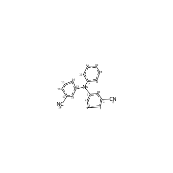 N#Cc1cccc(N(c2ccccc2)c2cccc(C#N)c2)c1